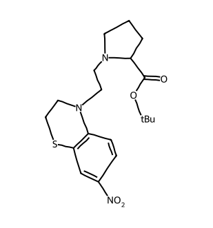 CC(C)(C)OC(=O)C1CCCN1CCN1CCSc2cc([N+](=O)[O-])ccc21